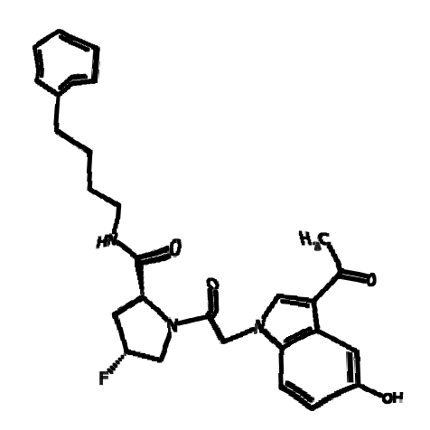 CC(=O)c1cn(CC(=O)N2C[C@H](F)C[C@H]2C(=O)NCCCCc2ccccc2)c2ccc(O)cc12